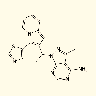 Cc1nn(C(C)c2cc3ccccn3c2-c2cncs2)c2ncnc(N)c12